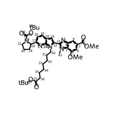 COC(=O)c1cc(OC)c2c(c1)nc(-c1cc3ccc(C4CCCN4C(=O)OC(C)(C)C)nc3n1CCCCCCCC(=O)OC(C)(C)C)n2C